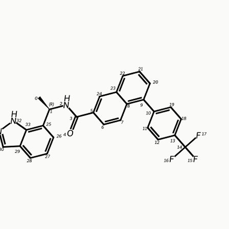 C[C@@H](NC(=O)c1ccc2c(-c3ccc(C(F)(F)F)cc3)cccc2c1)c1cccc2cn[nH]c12